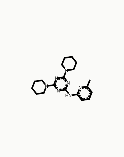 Cc1cccc(Nc2nc(N3CCCCC3)nc(N3CCCCC3)n2)n1